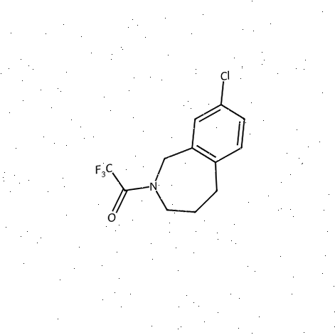 O=C(N1CCCc2ccc(Cl)cc2C1)C(F)(F)F